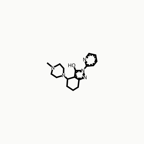 CN1CCN(C2CCCc3nn(-c4ccccn4)c(O)c32)CC1